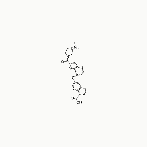 CN(C)[C@@H]1CCN(C(=O)c2cc3nccc(Oc4ccc5c(C(=O)O)cccc5c4)c3s2)C1